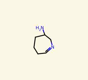 NC1CCCC=NC1